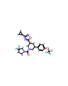 O=C(N1CC(c2ccc(OC(F)(F)F)cc2)CC(c2nc(C3CC3)no2)C1)N1CCC(F)(F)C1